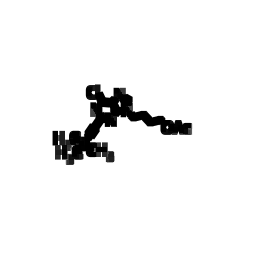 CC(=O)OCCCCn1cnc2c(Cl)nc(C#C[Si](C)(C)C)nc21